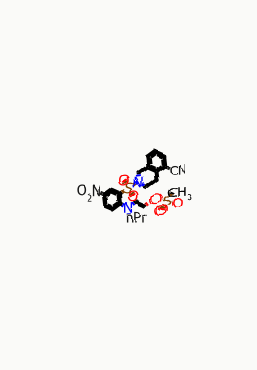 CCCN(CCOS(C)(=O)=O)c1ccc([N+](=O)[O-])cc1S(=O)(=O)N1CCc2c(C#N)cccc2C1